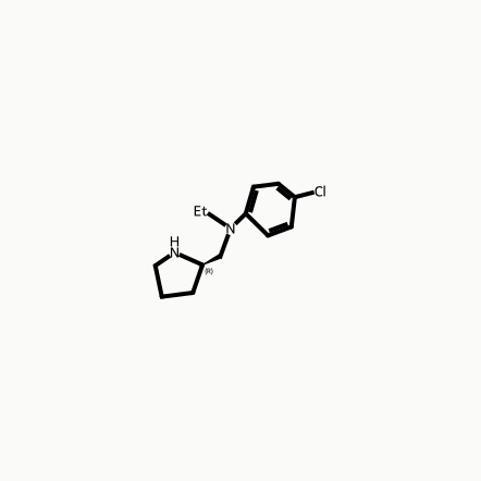 CCN(C[C@H]1CCCN1)c1ccc(Cl)cc1